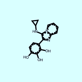 Oc1ccc(-c2nc3ccccn3c2NC2CC2)c(O)c1O